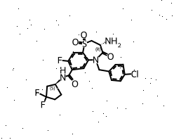 N[C@H]1CS(=O)(=O)c2cc(F)c(C(=O)N[C@H]3CCC(F)(F)C3)cc2N(Cc2ccc(Cl)cc2)C1=O